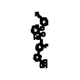 N#Cc1cccc(Oc2ncccc2C(=O)NCc2ccc(-c3cccc(C(=O)O)c3)cc2F)c1